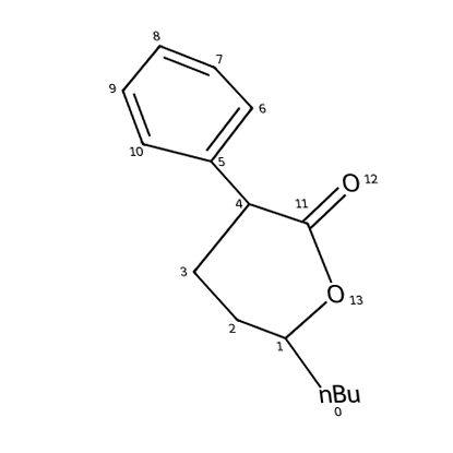 CCCCC1CCC(c2ccccc2)C(=O)O1